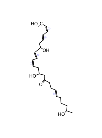 CC(O)CCC/C=C/CCC(=O)CC(O)C/C=C\C=C\C(O)C/C=C/C=C\C(=O)O